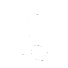 CN(C)CCNc1[c]cccc1F